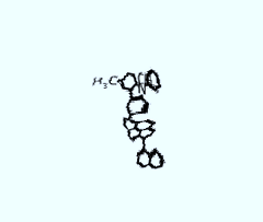 CC1CCC2(C)C(C1)c1cc(-c3ccc4ccc5c(-c6cccc7ccccc67)ccc6ccc3c4c65)ccc1N2c1ccccc1